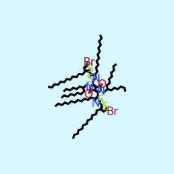 CCCCCCCCCCCCc1cc(Br)sc1-c1nc(CCCCCCCCCCCC)c(C2=C3C(=O)N(CC(CCCCCC)CCCCCCCC)C(c4nc(CCCCCCCCCCCC)c(-c5sc(Br)cc5CCCCCCCCCCCC)s4)=C3C(=O)N2CC(CCCCCC)CCCCCCCC)s1